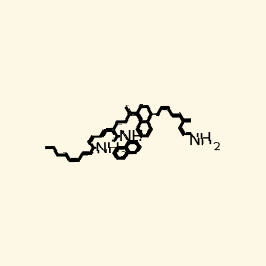 C=C(/C=C\CN)/C=C/C=C\C[C@@H]1CCC(C(C)CCC(/C=C/C=C\C(N)/C=C/C=C\CCCC)C(C)Nc2cccc3ccccc23)=C2C=CC=CC21